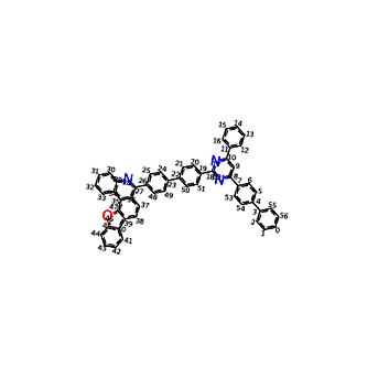 c1ccc(-c2ccc(-c3cc(-c4ccccc4)nc(-c4ccc(-c5ccc(-c6nc7ccccc7c7c6ccc6c8ccccc8oc67)cc5)cc4)n3)cc2)cc1